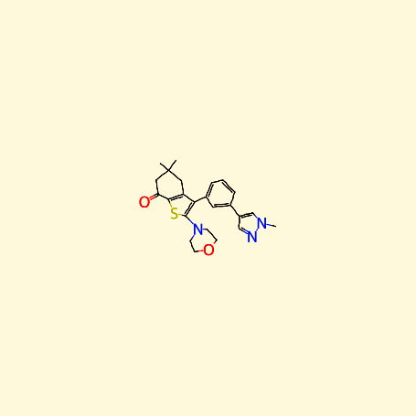 Cn1cc(-c2cccc(-c3c(N4CCOCC4)sc4c3CC(C)(C)CC4=O)c2)cn1